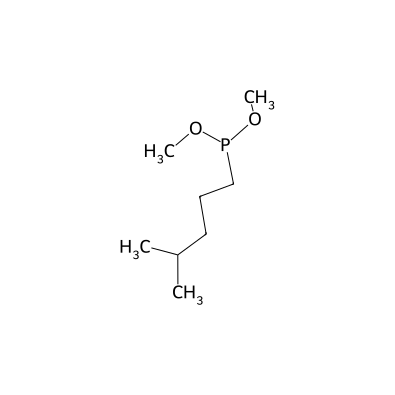 COP(CCCC(C)C)OC